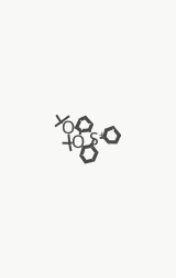 CC(C)(C)Oc1cccc([S+](c2ccccc2)c2ccccc2)c1OC(C)(C)C